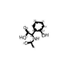 CC(=O)NC(C(=O)O)c1ccccc1O